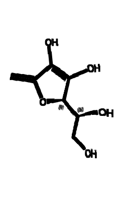 C=C1O[C@H]([C@@H](O)CO)C(O)=C1O